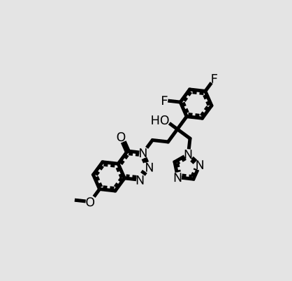 COc1ccc2c(=O)n(CCC(O)(Cn3cncn3)c3ccc(F)cc3F)nnc2c1